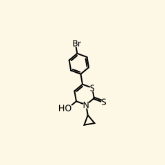 OC1C=C(c2ccc(Br)cc2)SC(=S)N1C1CC1